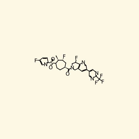 C[C@@H]1C(S(=O)(=O)c2ccc(F)cn2)CC[C@H](C(=O)N2Cc3cc(-c4cnc(C(F)(F)F)nc4)cnc3C(F)C2)C[C@H]1F